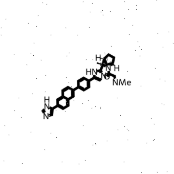 CNCC(=O)N1[C@@H]2CC[C@@H](C2)[C@@]1(C)c1ncc(-c2ccc(-c3ccc4cc(-c5cnc[nH]5)ccc4c3)cc2)[nH]1